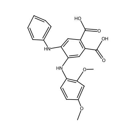 COc1ccc(Nc2cc(C(=O)O)c(C(=O)O)cc2Nc2ccccc2)c(OC)c1